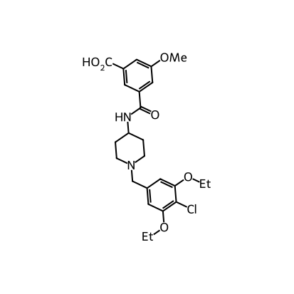 CCOc1cc(CN2CCC(NC(=O)c3cc(OC)cc(C(=O)O)c3)CC2)cc(OCC)c1Cl